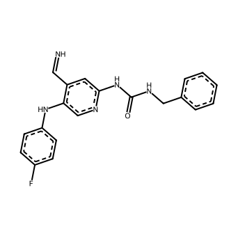 N=Cc1cc(NC(=O)NCc2ccccc2)ncc1Nc1ccc(F)cc1